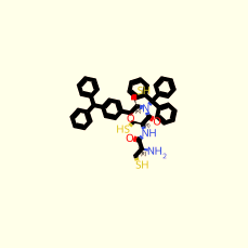 N[C@@H](CS)C(=O)N[C@@H](CS)C(=O)N([C@@H](CS)C(=O)c1ccc([C](c2ccccc2)c2ccccc2)cc1)C(c1ccccc1)(c1ccccc1)c1ccccc1